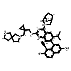 C#Cc1c(F)ccc2cc(O)cc(-c3c(C(C)C)cc4c(N5CC6CCC(C5)N6)nc(OCC5(CN6CCC7(CCOC7)C6)CC5)nc4c3F)c12